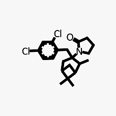 CC1C2CC(CC1(Cc1ccc(Cl)cc1Cl)N1CCCC1=O)C2(C)C